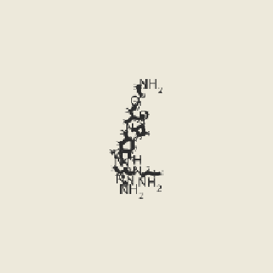 CCCC(N)Nc1nc(N)nc2cnn(Cc3ccc(CN(CC(C=O)CCOCCN)C4CCC4)cc3OC)c12